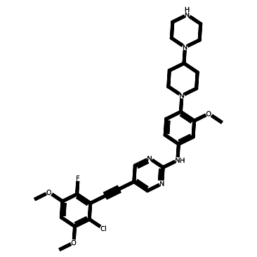 COc1cc(Nc2ncc(C#Cc3c(F)c(OC)cc(OC)c3Cl)cn2)ccc1N1CCC(N2CCNCC2)CC1